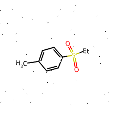 CCS(=O)(=O)c1c[c]c(C)cc1